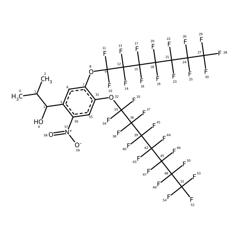 CC(C)C(O)c1cc(OC(F)(F)C(F)(F)C(F)(F)C(F)(F)C(F)(F)C(F)(F)C(F)(F)F)c(OC(F)(F)C(F)(F)C(F)(F)C(F)(F)C(F)(F)C(F)(F)C(F)(F)F)cc1[N+](=O)[O-]